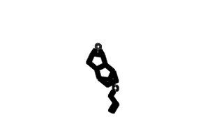 C=CCOC1C2CCC1C1C2CC2OC21